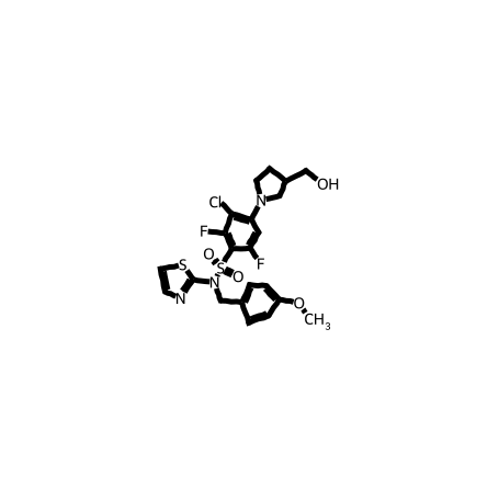 COc1ccc(CN(c2nccs2)S(=O)(=O)c2c(F)cc(N3CCC(CO)C3)c(Cl)c2F)cc1